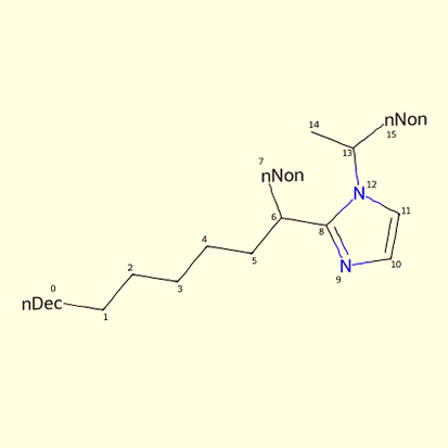 CCCCCCCCCCCCCCCC(CCCCCCCCC)c1nccn1C(C)CCCCCCCCC